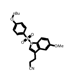 CCCCOc1ccc(S(=O)(=O)n2cc(CCC#N)c3cc(OC)ccc32)cc1